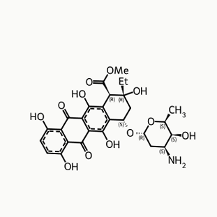 CC[C@@]1(O)C[C@H](O[C@H]2C[C@H](N)[C@H](O)[C@H](C)O2)c2c(O)c3c(c(O)c2[C@H]1C(=O)OC)C(=O)c1c(O)ccc(O)c1C3=O